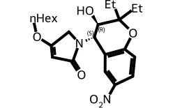 CCCCCCOC1=CC(=O)N([C@H]2c3cc([N+](=O)[O-])ccc3OC(CC)(CC)[C@@H]2O)C1